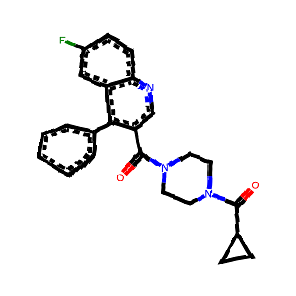 O=C(c1cnc2ccc(F)cc2c1-c1ccccc1)N1CCN(C(=O)C2CC2)CC1